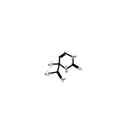 N=C(N)C1(N)C=CNC(=O)N1